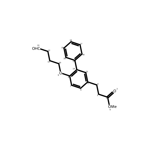 COC(=O)CCc1ccc(OCCCC=O)c(-c2ccccc2)c1